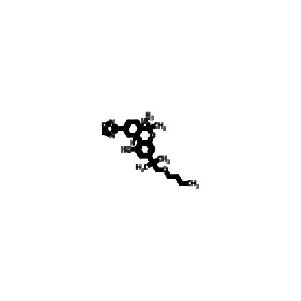 CCCCOCC(C)(C)c1cc(O)c2c(c1)OC(C)(C)[C@@H]1CC=C(c3ncon3)C[C@@H]21